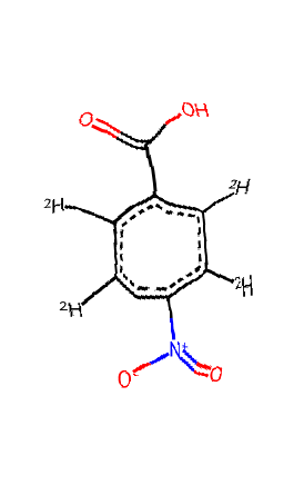 [2H]c1c([2H])c([N+](=O)[O-])c([2H])c([2H])c1C(=O)O